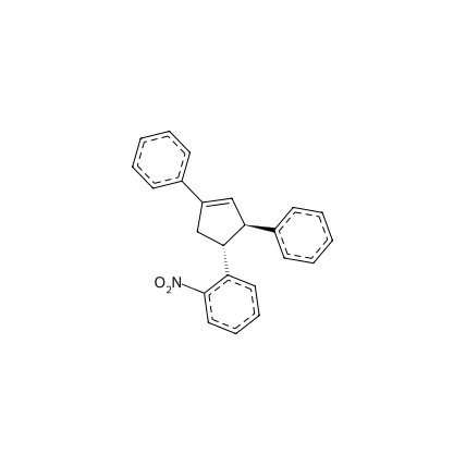 O=[N+]([O-])c1ccccc1[C@@H]1CC(c2ccccc2)=C[C@H]1c1ccccc1